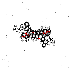 [2H]c1c([2H])c([2H])c(N(c2c(F)cc(-c3ccccc3[Si](C)(C)C)cc2-c2ccccc2[Si](C)(C)C)c2ccc3ccc4c(N(c5c(F)cc(-c6ccccc6[Si](C)(C)C)cc5-c5ccccc5[Si](C)(C)C)c5c([2H])c([2H])c([2H])c([2H])c5[2H])ccc5ccc2c3c54)c([2H])c1[2H]